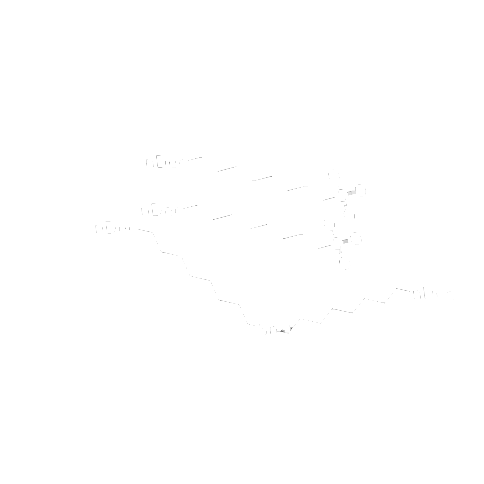 CCCCCCCCCCCCCCCCCCS(=O)(=O)[O-].CCCCCCCCCCCCCCCCCCS(=O)(=O)[O-].CCCCCCCCCCCCCCCCC[CH2][Sn+2][CH2]CCCCCCCCCCCCCCCCC